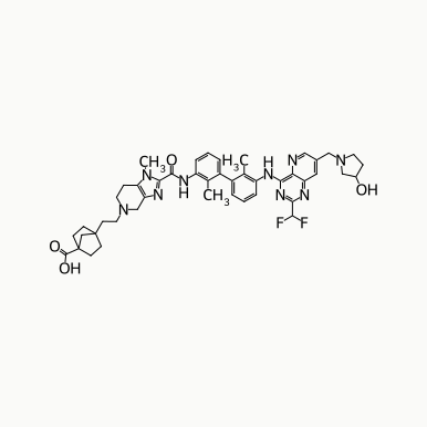 Cc1c(NC(=O)c2nc3c(n2C)CCN(CCC24CCC(C(=O)O)(CC2)C4)C3)cccc1-c1cccc(Nc2nc(C(F)F)nc3cc(CN4CCC(O)C4)cnc23)c1C